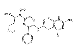 Nc1nc(N)c(CC(=O)Nc2ccc(N(C=O)[C@@H](CCC(=O)O)C(=O)O)nc2-c2ccccc2)c(=O)[nH]1